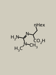 CCCCCCCC(N=C(N)N(C)C)C(=O)O